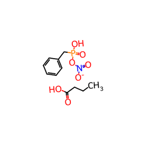 CCCC(=O)O.O=[N+]([O-])OP(=O)(O)Cc1ccccc1